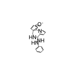 [O-][s+]1ccc2c1-n1cccc1C(NNc1ccccc1)NC2